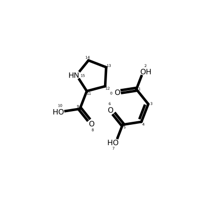 O=C(O)/C=C\C(=O)O.O=C(O)C1CCCN1